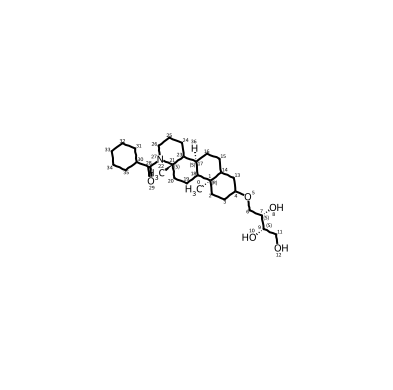 C[C@@]12CCC(OC[C@H](O)[C@@H](O)CO)CC1CC[C@H]1C2CC[C@@]2(C)C1CCCN2C(=O)C1CCCCC1